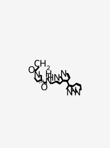 C=CC(=O)N1CC[C@H](C(=O)NCc2cc3c(-c4cnn5ncccc45)ccnc3[nH]2)C1